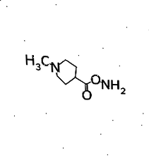 CN1CCC(C(=O)ON)CC1